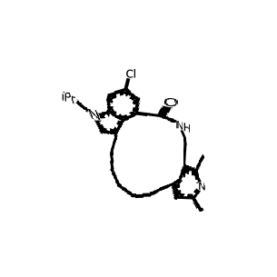 Cc1cc2c(c(C)n1)CNC(=O)c1cc(Cl)cc3c1c(cn3C(C)C)CCCCC2